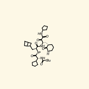 CN(C(=O)[C@H](NC(=O)C(C)(C)C)C1CCCC1)[C@@H](CC1CC2CCC21)C(=O)N[C@@H](C[C@@H]1CCCNC1=O)C(=O)C(=O)NC1CCCC1